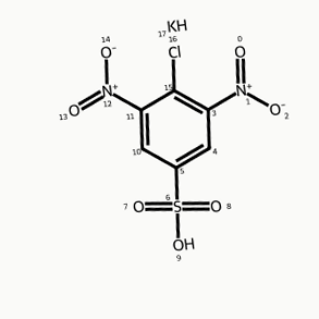 O=[N+]([O-])c1cc(S(=O)(=O)O)cc([N+](=O)[O-])c1Cl.[KH]